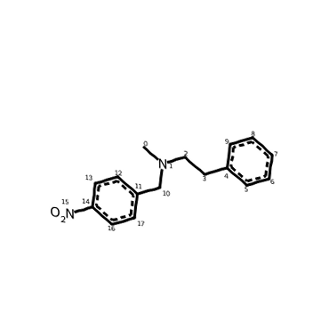 CN(CCc1ccccc1)Cc1ccc([N+](=O)[O-])cc1